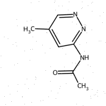 CC(=O)Nc1cc(C)cnn1